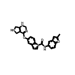 Cc1cc2cc(NC(=O)n3ccc4cc(OC5=NCNC6=C5CNC6)ccc43)ccc2o1